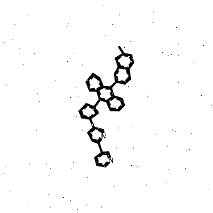 Cc1ccc2ccc(-c3c4ccccc4c(-c4cccc(-c5ccc(-c6cccnc6)nc5)c4)c4ccccc34)cc2c1